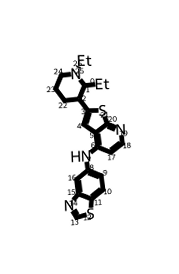 CCC1C(c2cc3c(Nc4ccc5scnc5c4)ccnc3s2)CCCN1CC